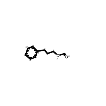 O=[C]OCCCc1ccccc1